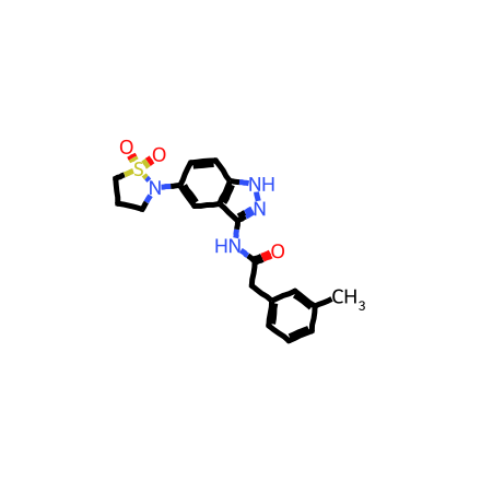 Cc1cccc(CC(=O)Nc2n[nH]c3ccc(N4CCCS4(=O)=O)cc23)c1